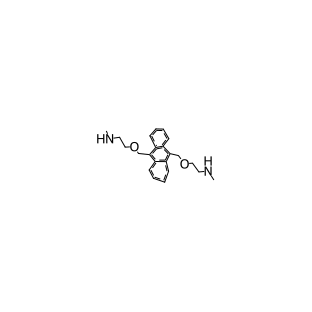 CNCCOCc1c2ccccc2c(COCCNC)c2ccccc12